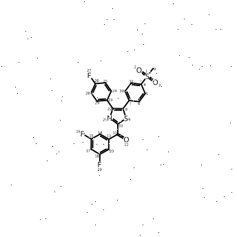 CS(=O)(=O)c1ccc(-c2sc(C(=O)c3cc(F)cc(F)c3)nc2-c2ccc(F)cc2)cc1